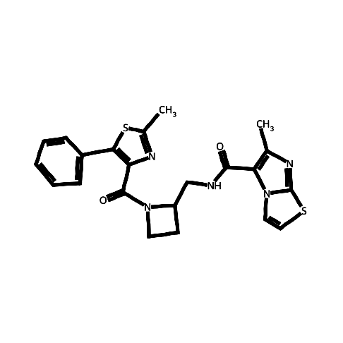 Cc1nc(C(=O)N2CCC2CNC(=O)c2c(C)nc3sccn23)c(-c2ccccc2)s1